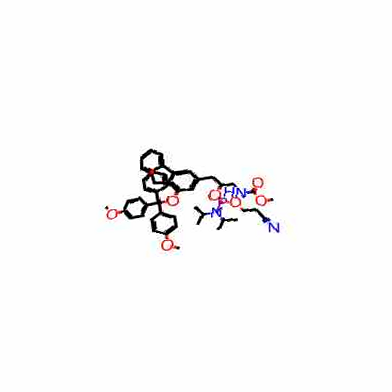 COC(=O)NCC(Cc1cc(OC(c2ccccc2)(c2ccc(OC)cc2)c2ccc(OC)cc2)c2c(c1)-c1ccccc1C2)OP(OCCC#N)N(C(C)C)C(C)C